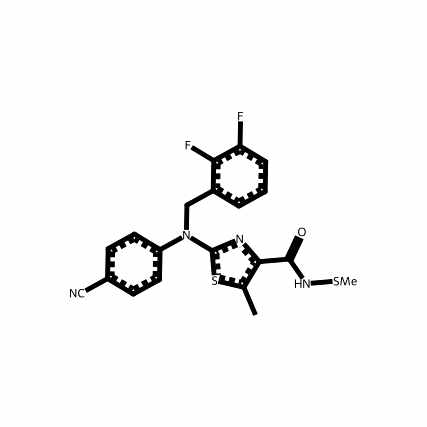 CSNC(=O)c1nc(N(Cc2cccc(F)c2F)c2ccc(C#N)cc2)sc1C